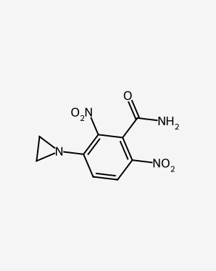 NC(=O)c1c([N+](=O)[O-])ccc(N2CC2)c1[N+](=O)[O-]